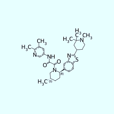 Cc1cc(NC(=O)C(=O)N2C[C@@H](C)CC[C@@H]2c2ccc3sc(C4CCN(C)C(C)(C)C4)nc3c2)cnc1C